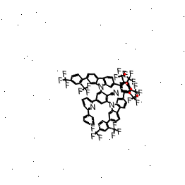 N#Cc1c(-n2c3cc(-c4ccc(C(F)(F)F)cc4C(F)(F)F)ccc3c3ccc(-c4ccc(C(F)(F)F)cc4C(F)(F)F)cc32)cc(-c2cccc(-c3ccccc3)n2)cc1-n1c2cc(-c3ccc(C(F)(F)F)cc3C(F)(F)F)ccc2c2ccc(-c3ccc(C(F)(F)F)cc3C(F)(F)F)cc21